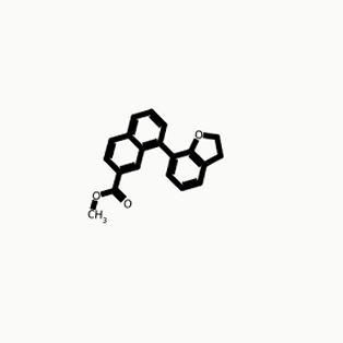 COC(=O)c1ccc2cccc(-c3cccc4c3OCC4)c2c1